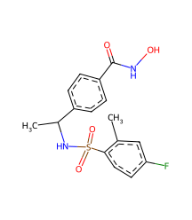 Cc1cc(F)ccc1S(=O)(=O)NC(C)c1ccc(C(=O)NO)cc1